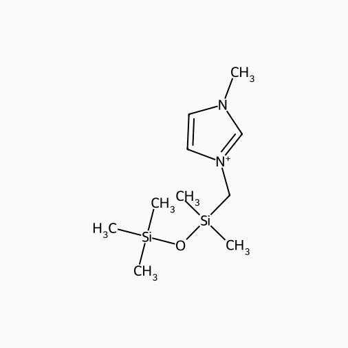 Cn1cc[n+](C[Si](C)(C)O[Si](C)(C)C)c1